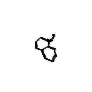 F[n+]1cccc2ccccc21